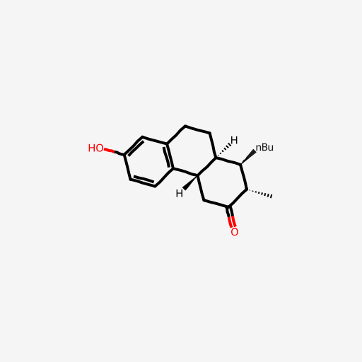 CCCC[C@@H]1[C@@H]2CCc3cc(O)ccc3[C@H]2CC(=O)[C@H]1C